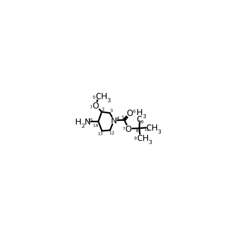 COC1CN(C(=O)OC(C)(C)C)CCC1N